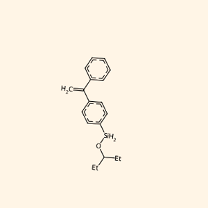 C=C(c1ccccc1)c1ccc([SiH2]OC(CC)CC)cc1